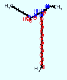 CCCCCCCCCCCCCCCC(=O)N[C@@H](CCC(=O)NCCCC[C@H](NC(=O)CCc1cn(CCCCC)nn1)C(=O)NCCOCCOCCOCCOCCOCCOCCOCCOCCOCCOCCOCCOCCC(C)=O)C(=O)O